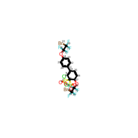 O=S(=O)(Cl)C1(S(=O)(=O)Cl)C=C(c2ccc(OC(F)(F)C(F)(F)Br)cc2)C=CC1OC(F)(F)C(F)(F)Br